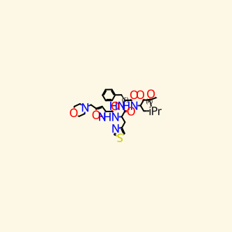 CC(C)CC(NC(=O)[C@H](Cc1ccccc1)NC(=O)C(Cc1cscn1)NC(=O)c1cc(CN2CCOCC2)on1)C(=O)[C@@]1(C)CO1